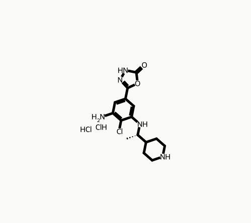 C[C@H](Nc1cc(-c2n[nH]c(=O)o2)cc(N)c1Cl)C1CCNCC1.Cl.Cl